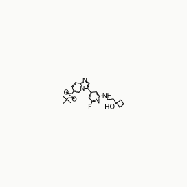 CC(C)(C)S(=O)(=O)c1ccc2ncc(-c3cc(F)nc(NCCC4(O)CCC4)c3)n2c1